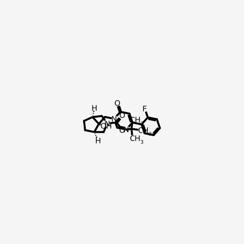 CC(C)(C)OC(=O)N1C[C@H]2CC[C@@H](C1)C2(O)Cn1cnc(-c2ccccc2F)cc1=O